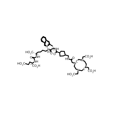 O=C(O)CC[C@H](NC(=O)N[C@@H](CCCCNC(=O)[C@H](Cc1cc2ccccc2cn1)NC(=O)C1CCC(CNC(=O)CN2CCN(CC(=O)O)CCN(CC(=O)O)CCN(CC(=O)O)CC2)CC1)C(=O)O)C(=O)O